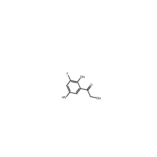 CCCc1cc(F)c(O)c(C(=O)CO)c1